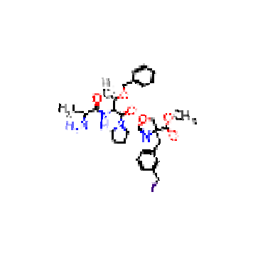 COC(=O)[C@@]1(Cc2cccc(CI)c2)COC([C@@H]2CCCN2C(=O)[C@@H](NC(=O)[C@H](C)N)[C@@H](C)OCc2ccccc2)=N1